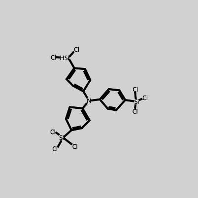 Cl[SiH](Cl)c1ccc(N(c2ccc([Si](Cl)(Cl)Cl)cc2)c2ccc([Si](Cl)(Cl)Cl)cc2)cc1